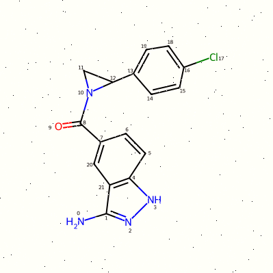 Nc1n[nH]c2ccc(C(=O)N3CC3c3ccc(Cl)cc3)cc12